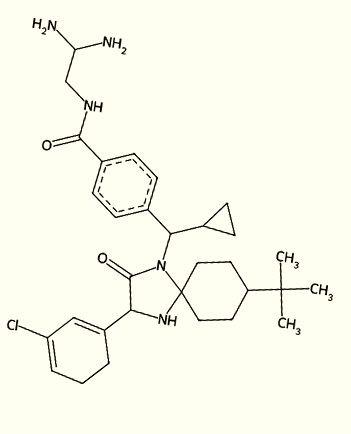 CC(C)(C)C1CCC2(CC1)NC(C1=CC(Cl)=CCC1)C(=O)N2C(c1ccc(C(=O)NCC(N)N)cc1)C1CC1